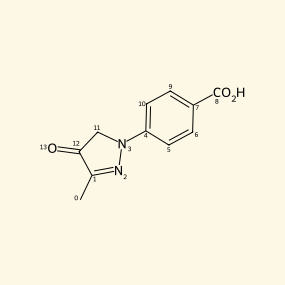 CC1=NN(c2ccc(C(=O)O)cc2)CC1=O